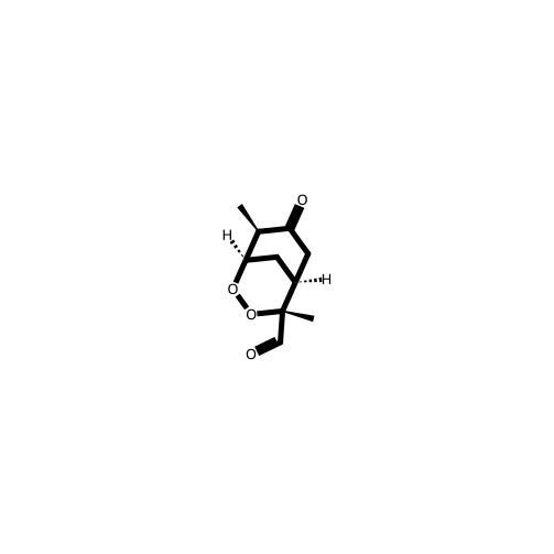 C[C@H]1C(=O)C[C@@H]2C[C@H]1OO[C@@]2(C)C=O